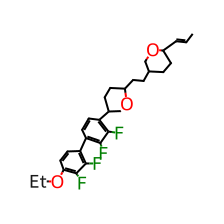 C/C=C/C1CCC(CCC2CCC(c3ccc(-c4ccc(OCC)c(F)c4F)c(F)c3F)CO2)CO1